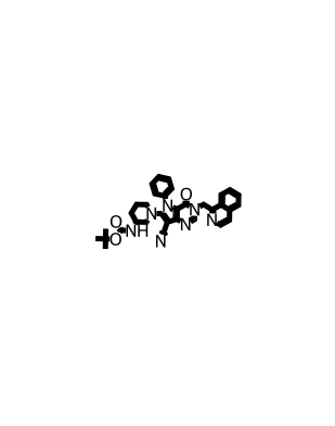 CC(C)(C)OC(=O)NC1CCCN(c2c(C#N)c3ncn(Cc4nccc5ccccc45)c(=O)c3n2-c2ccccc2)C1